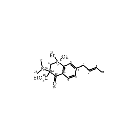 CC=CCc1ccc2c(c1)[N+]([O-])(CC)CC(C(=O)OCC)(N(C)C)C2=O